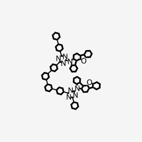 c1ccc(-c2ccc(-c3nc(-c4ccc(-c5cccc(-c6cccc(-c7ccc(-c8nc(-c9ccccc9)nc(-n9c%10ccccc%10c%10c%11oc%12ccccc%12c%11ccc%109)n8)cc7)c6)c5)cc4)nc(-n4c5ccccc5c5c6oc7ccccc7c6ccc54)n3)cc2)cc1